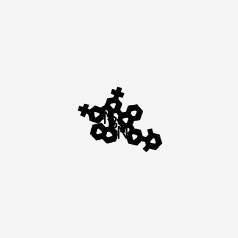 Cc1cccc(C)c1-c1ccc2c(c1)c1c3ccccc3c3c4c1n2-c1ccc2ccccc2c1B4n1c2ccc(C(C)(C)C)cc2c2cc(C(C)(C)C)cc-3c21